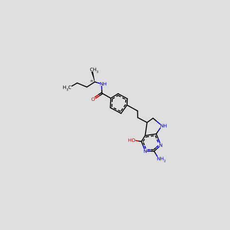 CCC[C@@H](C)NC(=O)c1ccc(CCC2CNc3nc(N)nc(O)c32)cc1